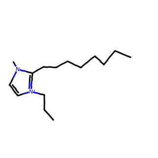 CCCCCCCCc1n(C)cc[n+]1CCC